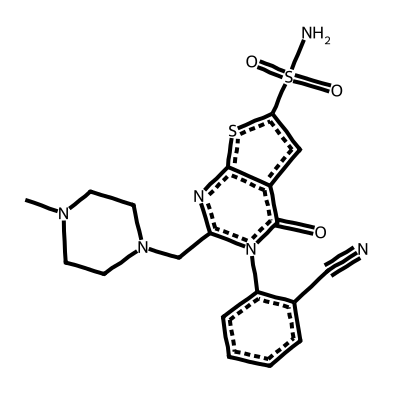 CN1CCN(Cc2nc3sc(S(N)(=O)=O)cc3c(=O)n2-c2ccccc2C#N)CC1